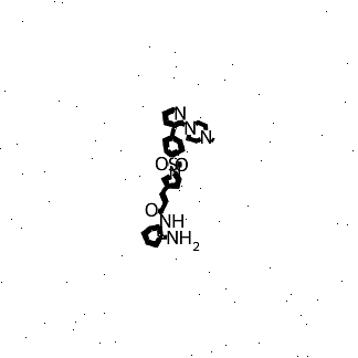 CN1CCN(c2ncccc2-c2ccc(S(=O)(=O)n3ccc(/C=C/C(=O)Nc4ccccc4N)c3)cc2)CC1